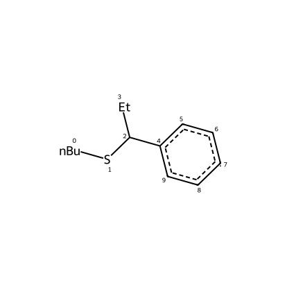 CCCCSC(CC)c1cc[c]cc1